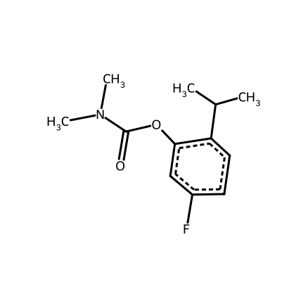 CC(C)c1ccc(F)cc1OC(=O)N(C)C